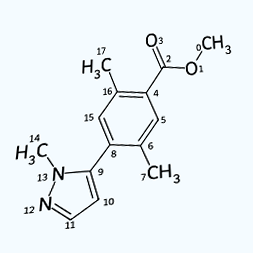 COC(=O)c1cc(C)c(-c2ccnn2C)cc1C